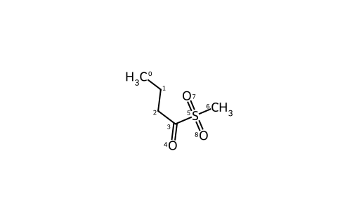 CCCC(=O)S(C)(=O)=O